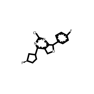 Fc1ccc(C2OCc3c(C4CC[C@@H](F)C4)nc(Cl)nc32)cc1